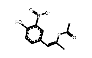 CC(=O)O/C(C)=C\c1ccc(O)c([N+](=O)[O-])c1